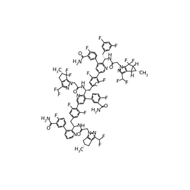 C[C@H]1Cc2c(C(F)F)nn(CC(=O)NC(Cc3cc(F)c(-c4cnc([C@H](Cc5cc(F)c(-c6cnc([C@H](Cc7cc(F)cc(F)c7)NC(=O)Cn7nc(C(F)F)c8c7C(F)(F)[C@@H]7[C@H](C)[C@H]87)c(-c7ccc(F)c(C(N)=O)c7)c6)c(F)c5)NC(=O)Cn5nc(C(F)F)c6c5C(F)(F)[C@@H](C)C6)c(-c5ccc(F)c(C(N)=O)c5)c4)c(F)c3)c3ncccc3-c3ccc(F)c(C(N)=O)c3)c2C1